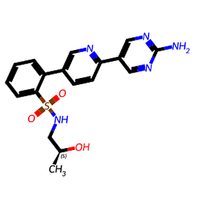 C[C@H](O)CNS(=O)(=O)c1ccccc1-c1ccc(-c2cnc(N)nc2)nc1